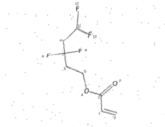 C=CC(=O)OCCC(F)(F)CC(F)F